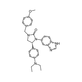 CCN(CC)c1ccc([C@H]2CN(Cc3ccc(OC)cc3)C(=O)N2c2ccc3[nH]cnc3c2)cc1